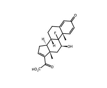 C[C@]12C=CC(=O)C=C1CC[C@H]1[C@@H]3CC=C(C(=O)C(=O)O)[C@@]3(C)C[C@H](O)C12F